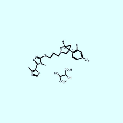 Cc1ncoc1-c1nnc(SCCCN2C[C@@H]3C[C@]3(c3ccc(C(F)(F)F)cc3F)C2)n1C.O=C(O)C(O)C(O)C(=O)O